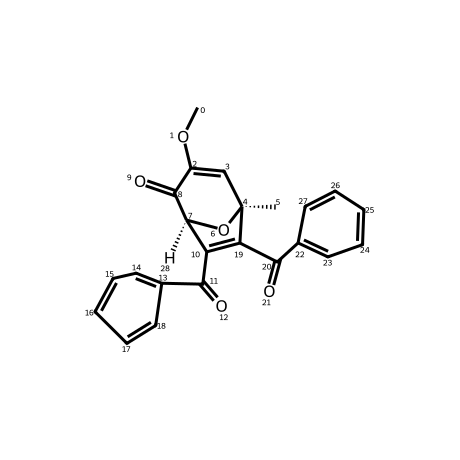 COC1=C[C@]2(C)O[C@H](C1=O)C(C(=O)c1ccccc1)=C2C(=O)c1ccccc1